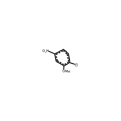 [CH2]Oc1cc([N+](=O)[O-])ccc1Cl